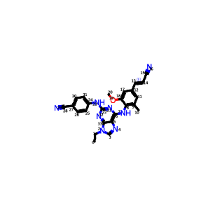 CCn1cnc2c(Nc3c(C)cc(/C=C/C#N)cc3OC)nc(Nc3ccc(C#N)cc3)nc21